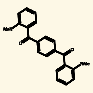 CNc1ccccc1C(=O)c1ccc(C(=O)c2ccccc2NC)cc1